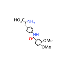 COc1ccc(C(=O)Nc2ccc(C[C@H](N)C(=O)O)cc2)cc1OC